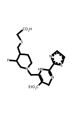 CCOC(=O)C1=C(CN2CCC(CSCC(=O)O)C(F)C2)NC(c2nccs2)=NC1